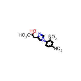 O=C(O)[C@@H](O)Cc1cn(-c2ccc([N+](=O)[O-])cc2[N+](=O)[O-])cn1